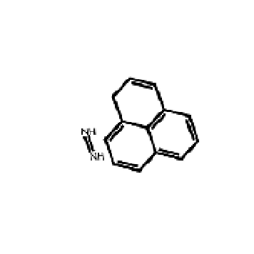 C1=Cc2cccc3cccc(c23)C1.N=N